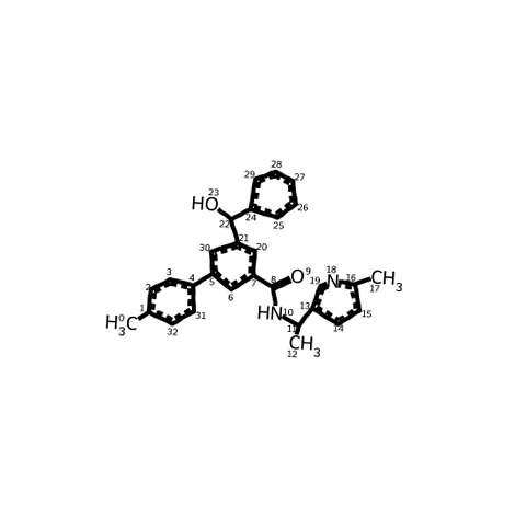 Cc1ccc(-c2cc(C(=O)NC(C)c3ccc(C)nc3)cc(C(O)c3ccccc3)c2)cc1